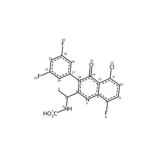 CC(NC(=O)O)c1nc2c(F)ccc(Cl)c2c(=O)n1-c1cc(F)cc(F)c1